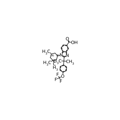 C[C@H]1C[C@@H](n2c(C(C)(C)c3ccc(OC(F)(F)F)cc3)nc3cc(C(=O)O)ccc32)CC(C)(C)C1